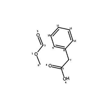 COC=O.O=C(O)Cc1ccccc1